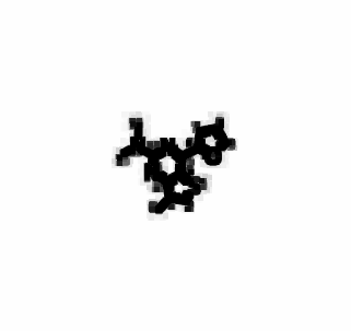 Cc1csc2c(-c3ccco3)nc(N(C)C)nc12